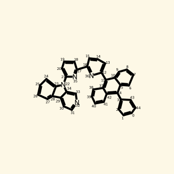 c1ccc(-c2c3ccccc3c(-c3cccc(-c4cccc(-n5c6ccccc6c6ccncc65)n4)n3)c3ccccc23)cc1